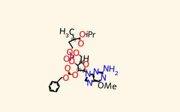 COc1nc(N)nc2c1ncn2[C@@H]1O[C@@H]2COP(=O)(OCC[C@@H](C)C(=O)OC(C)C)OC2[C@@H]1OC(=O)OCc1ccccc1